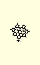 Cc1ccc2c(c1)c1cc(C(C)(C)C)cc3c4cc(C)ccc4c4c5c6c(c2c4c13)-n1c2ccc(C)cc2c2cc(C)cc(c21)B6c1cc(C)cc2c3cc(C)ccc3n-5c12